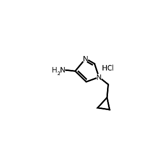 Cl.Nc1cn(CC2CC2)cn1